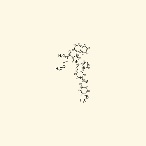 COCCN(C)C(=O)c1cn(C(CC2CCN(C(=O)Cc3ccc(OC)cc3)CC2)c2cnc[nH]2)cc1-c1cccc2ccccc12